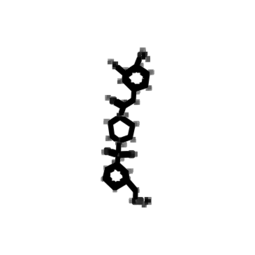 O=C(O)Cc1cccc(S(=O)(=O)N2CCN(C(=O)Cc3ccc(C(F)(F)F)c(F)c3)CC2)c1